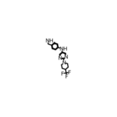 NCc1ccc(Nc2cnc(N3CCC(C(F)(F)F)CC3)nc2)cc1